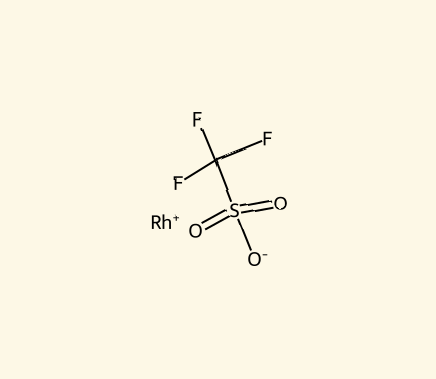 O=S(=O)([O-])C(F)(F)F.[Rh+]